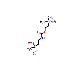 CCC[N+](C)(C)CCOC(=O)NCC[Si](C)(OCC)OCC